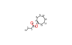 CCCC(=O)OC1=CCCCCCC1